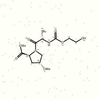 COC(=O)[C@@H]1C[C@@H](OC)CN1C(=O)[C@@H](NC(=O)OCCO)C(C)(C)C